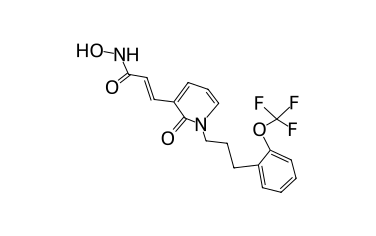 O=C(/C=C/c1cccn(CCCc2ccccc2OC(F)(F)F)c1=O)NO